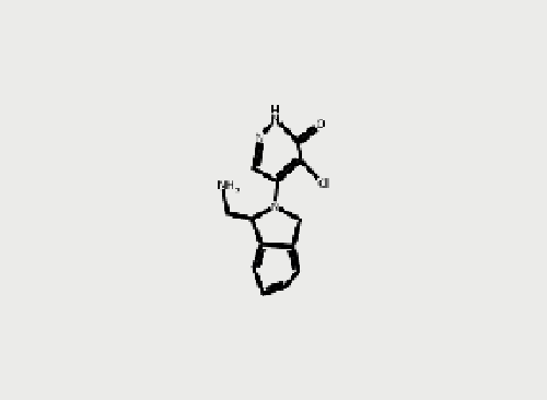 NCC1c2ccccc2CN1c1cn[nH]c(=O)c1Cl